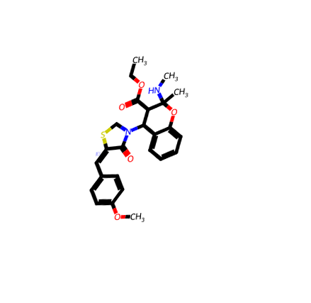 CCOC(=O)C1C(N2CS/C(=C/c3ccc(OC)cc3)C2=O)c2ccccc2OC1(C)NC